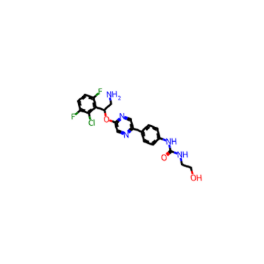 NCC(Oc1cnc(-c2ccc(NC(=O)NCCO)cc2)cn1)c1c(F)ccc(F)c1Cl